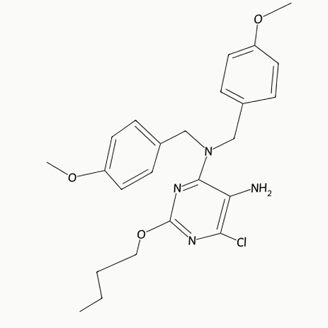 CCCCOc1nc(Cl)c(N)c(N(Cc2ccc(OC)cc2)Cc2ccc(OC)cc2)n1